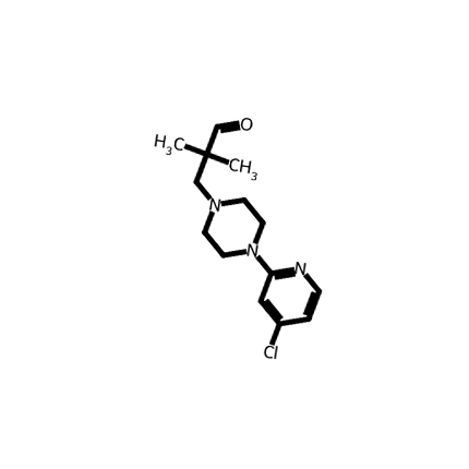 CC(C)(C=O)CN1CCN(c2cc(Cl)ccn2)CC1